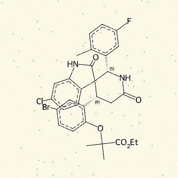 CCOC(=O)C(C)(C)Oc1ccc(Br)cc1[C@H]1CC(=O)N[C@@H](c2cc(F)ccc2C)C12C(=O)Nc1cc(Cl)ccc12